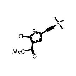 COC(=O)c1cc(C#C[Si](C)(C)C)sc1Cl